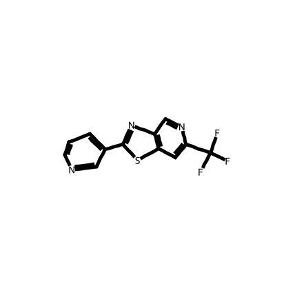 FC(F)(F)c1cc2sc(-c3cccnc3)nc2cn1